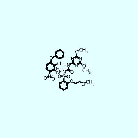 COCCOc1ccccc1S(=O)(=O)NC(=O)Nc1nc(OC)nc(OC)n1.Nc1c([N+](=O)[O-])ccc(Oc2ccccc2)c1Cl